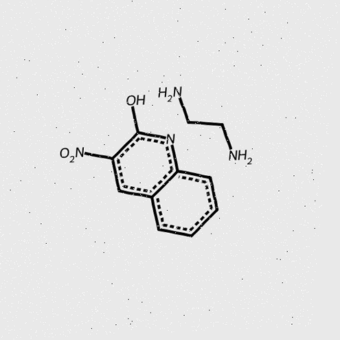 NCCN.O=[N+]([O-])c1cc2ccccc2nc1O